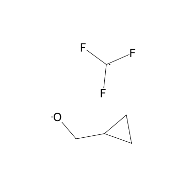 F[C](F)F.[O]CC1CC1